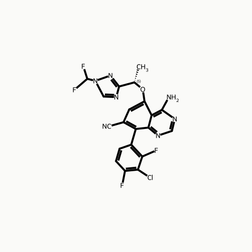 C[C@H](Oc1cc(C#N)c(-c2ccc(F)c(Cl)c2F)c2ncnc(N)c12)c1ncn(C(F)F)n1